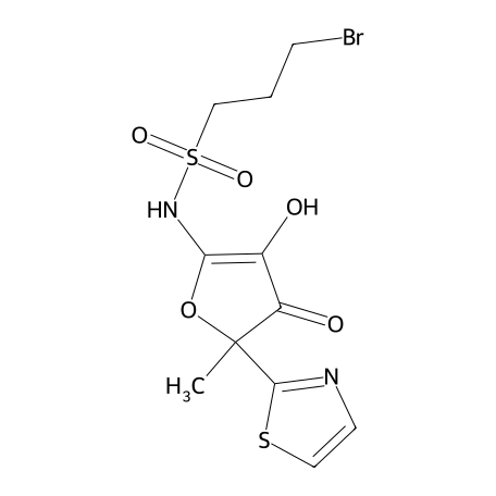 CC1(c2nccs2)OC(NS(=O)(=O)CCCBr)=C(O)C1=O